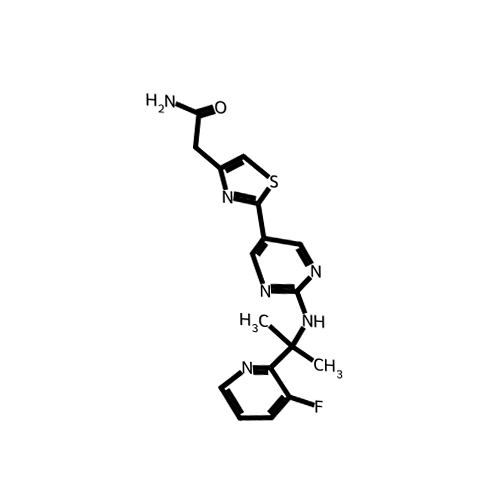 CC(C)(Nc1ncc(-c2nc(CC(N)=O)cs2)cn1)c1ncccc1F